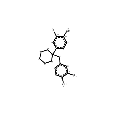 Oc1ccc(CC2(c3ccc(O)c(F)c3)CCCCC2)cc1F